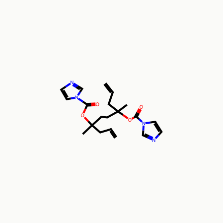 C=CCC(C)(CCC(C)(CC=C)OC(=O)n1ccnc1)OC(=O)n1ccnc1